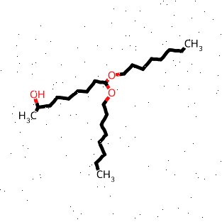 CCCCCCCCOC(CCCCCCC(C)O)OCCCCCCCC